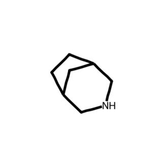 C1CC2CNCC1C2